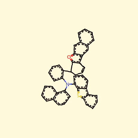 C1=Cc2c(oc3cc4ccccc4cc23)C(c2ccccc2N(c2cccc3ccccc23)c2cccc3c2sc2ccccc23)C1